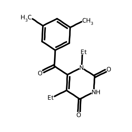 CCc1c(C(=O)c2cc(C)cc(C)c2)n(CC)c(=O)[nH]c1=O